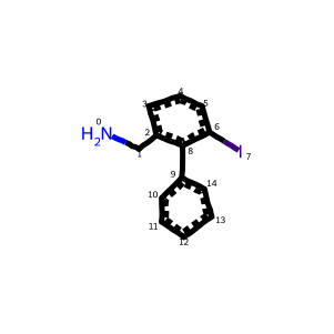 NCc1cccc(I)c1-c1ccccc1